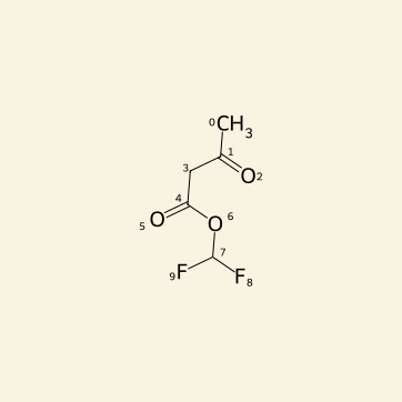 CC(=O)CC(=O)OC(F)F